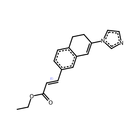 CCOC(=O)/C=C/c1ccc2c(c1)C=C(n1ccnc1)CC2